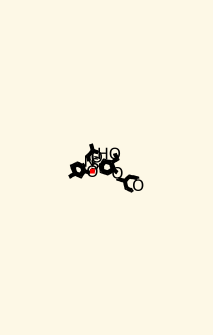 Cc1ccc(N(CC(C)C)S(=O)(=O)c2ccc(OCC3CCOCC3)c(CO)c2)c(C)c1